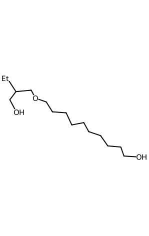 CCC(CO)COCCCCCCCCCCO